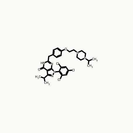 CC(C)c1nn(-c2c(Cl)cc(Cl)cc2Cl)c2nc(Cc3ccc(OCCN4CCN(C(C)C)CC4)cc3)[nH]c(=O)c12